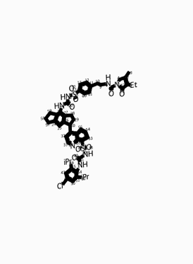 CCC1=C(C)CN(C(=O)NCCc2ccc(S(=O)(=O)NC(=O)Nc3c4c(cc5c3CCC5c3ccnc5c(S(=O)(=O)NC(=O)Nc6c(C(C)C)cc(Cl)cc6C(C)C)cccc35)CCC4)cc2)C1=O